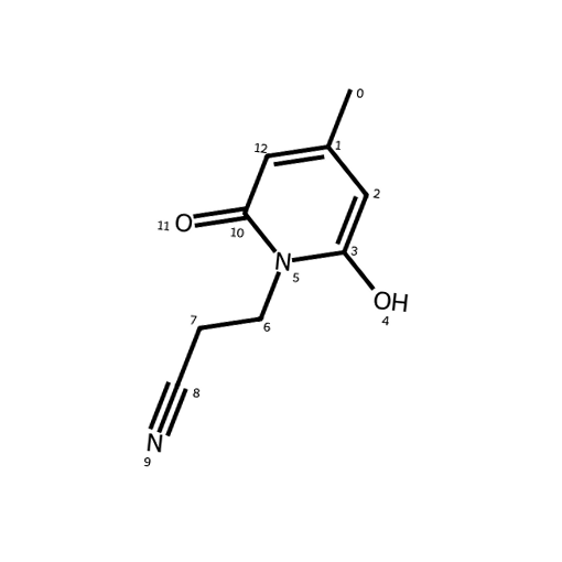 Cc1cc(O)n(CCC#N)c(=O)c1